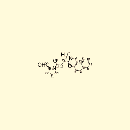 CN(Cc1cccc2ccccc12)C(=O)CCC(=O)N1CCC[C@H]1C=O